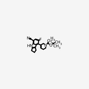 CC(C)(C)OC(=O)N1CCC=C(c2c(F)cc(C#N)c3[nH]c4c(c23)CCC4)C1